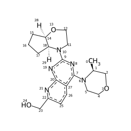 C[C@H]1COCCN1c1nc(N2CCO[C@@H]3CCC[C@@H]32)nc2nc(CO)ccc12